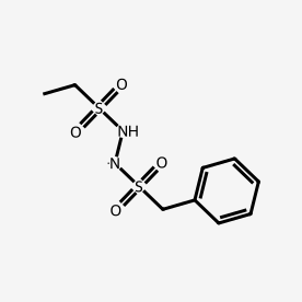 CCS(=O)(=O)N[N]S(=O)(=O)Cc1ccccc1